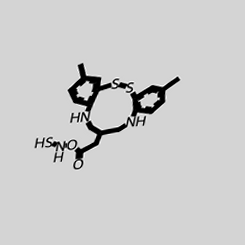 Cc1ccc2c(c1)SSc1cc(C)ccc1NCC(CC(=O)ONS)CN2